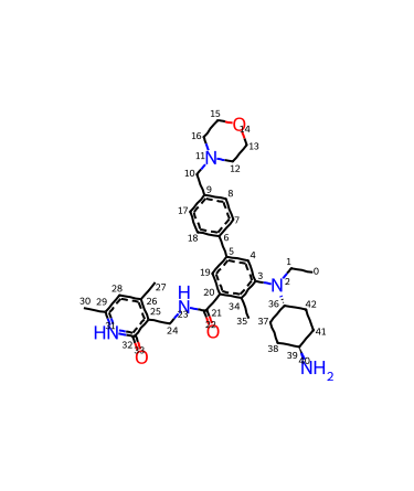 CCN(c1cc(-c2ccc(CN3CCOCC3)cc2)cc(C(=O)NCc2c(C)cc(C)[nH]c2=O)c1C)[C@H]1CC[C@H](N)CC1